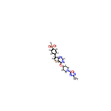 CC(C)c1noc(N2CCC(Oc3ncnc4c(-c5ccc(S(C)(=O)=O)cc5)csc34)CC2)n1